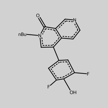 CCCCn1cc(-c2cc(F)c(O)c(F)c2)c2ccncc2c1=O